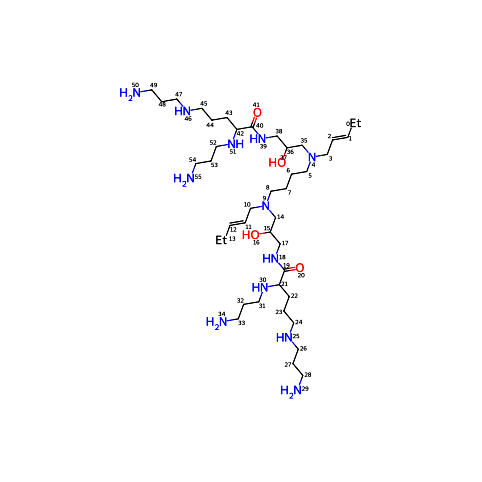 CCC=CCN(CCCCN(CC=CCC)CC(O)CNC(=O)C(CCCNCCCN)NCCCN)CC(O)CNC(=O)C(CCCNCCCN)NCCCN